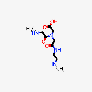 CNCCNC(=O)CN(CC(=O)O)C(=O)CNC